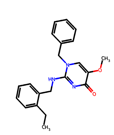 CCc1ccccc1CNc1nc(=O)c(OC)cn1Cc1ccccc1